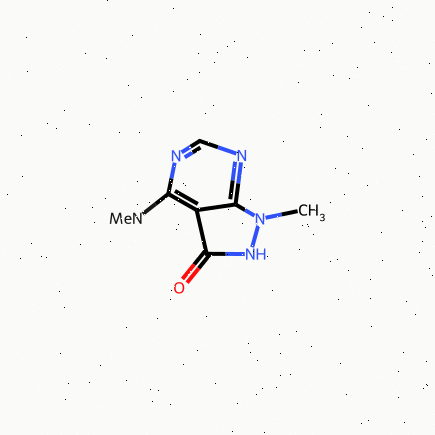 CNc1ncnc2c1c(=O)[nH]n2C